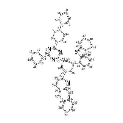 c1ccc(-c2ccc(-c3nc(-c4ccccc4)nc(-c4cc(-c5ccc6cc7ccccc7cc6n5)cc(-c5cccc6c5sc5ccccc56)c4)n3)cc2)cc1